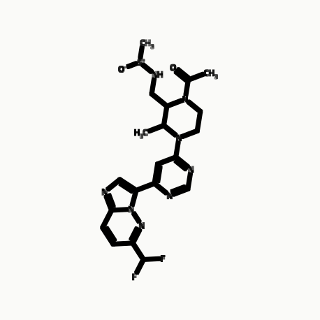 CC(=O)N1CCN(c2cc(-c3cnc4ccc(C(F)F)nn34)ncn2)C(C)C1CN[S+](C)[O-]